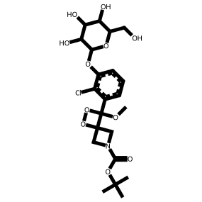 COC1(c2cccc(OC3OC(CO)C(O)C(O)C3O)c2Cl)OOC12CN(C(=O)OC(C)(C)C)C2